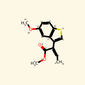 CC=C(C(=O)OC)c1csc2ccc(OC)cc12